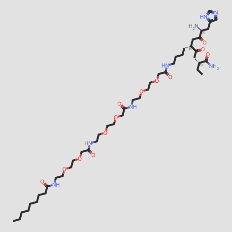 CCCCCCCCC(=O)NCCOCCOCC(=O)NCCOCCOCC(=O)NCCOCCOCC(=O)NCCCC[C@H](CC(=O)[C@@H](N)Cc1cnc[nH]1)C(=O)C[C@@H](CC)C(N)=O